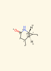 CC1CC(=O)N[C@@H]2C(C)[C@@H]12